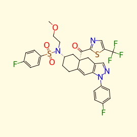 COCCN([C@H]1CCC2=Cc3c(cnn3-c3ccc(F)cc3)C[C@]2(C(=O)c2ncc(C(F)(F)F)s2)C1)S(=O)(=O)c1ccc(F)cc1